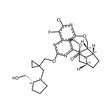 CC(C)(C)OC(=O)N1[C@@H]2CC[C@H]1[C@H]1COc3nc(Cl)c(F)c4nc(OCC5(CN6CCC[C@@H]6CO)CC5)nc(c34)N1C2